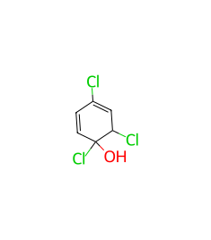 OC1(Cl)C=CC(Cl)=CC1Cl